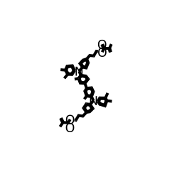 C=C(C)C(=O)OCCCc1ccc(N(c2ccc(C)c(C)c2)c2ccc(-c3ccc(N(c4ccc(CCCOC(=O)C(=C)C)cc4)c4ccc(C)c(C)c4)c(C)c3)cc2C)cc1